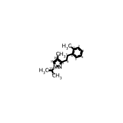 Cc1ccccc1CCc1nn(C(C)C)cc1C